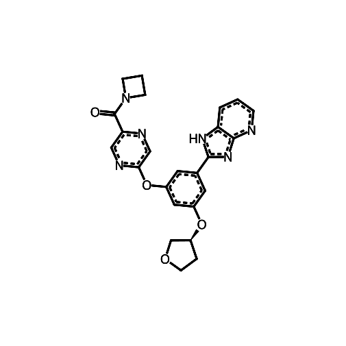 O=C(c1cnc(Oc2cc(O[C@H]3CCOC3)cc(-c3nc4ncccc4[nH]3)c2)cn1)N1CCC1